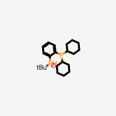 CC(C)(C)[PH](=O)c1ccccc1P(C1CCCCC1)C1CCCCC1